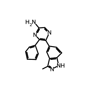 Cc1n[nH]c2ccc(-c3ncc(N)nc3-c3ccccc3)cc12